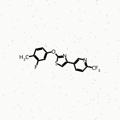 Cc1ccc(Oc2nc(-c3ccc(C(F)(F)F)nc3)cs2)cc1F